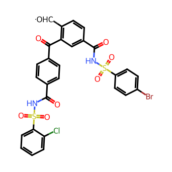 O=[C]c1ccc(C(=O)NS(=O)(=O)c2ccc(Br)cc2)cc1C(=O)c1ccc(C(=O)NS(=O)(=O)c2ccccc2Cl)cc1